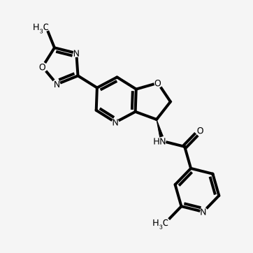 Cc1cc(C(=O)N[C@@H]2COc3cc(-c4noc(C)n4)cnc32)ccn1